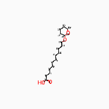 O=C(O)CCCCCCCCCCCOC1CCCCO1